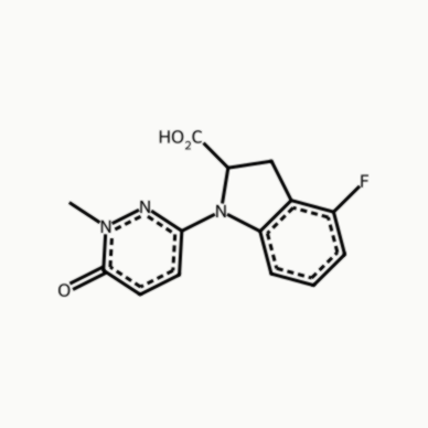 Cn1nc(N2c3cccc(F)c3CC2C(=O)O)ccc1=O